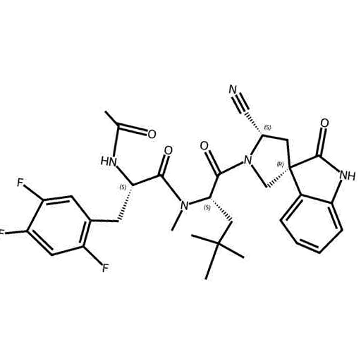 CC(=O)N[C@@H](Cc1cc(F)c(F)cc1F)C(=O)N(C)[C@@H](CC(C)(C)C)C(=O)N1C[C@]2(C[C@H]1C#N)C(=O)Nc1ccccc12